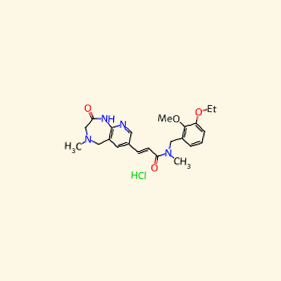 CCOc1cccc(CN(C)C(=O)/C=C/c2cnc3c(c2)CN(C)CC(=O)N3)c1OC.Cl